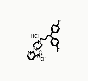 Cl.O=[N+]([O-])c1cccnc1N1CCN(CCCC(c2ccc(F)cc2)c2ccc(F)cc2)CC1